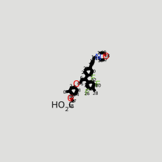 Cc1cc(OCC=C(c2ccc(C#CCN3CCOCC3)cc2)c2cc(F)c(C)c(F)c2F)ccc1OCC(=O)O